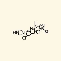 Clc1cc2cnc(Nc3cnn(C45CC(C4)C5)c3Cl)nc2cc1N1CCNCC1